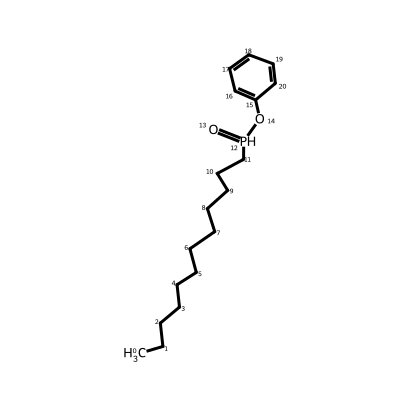 CCCCCCCCCCCC[PH](=O)Oc1ccccc1